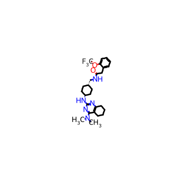 CN(C)c1nc(N[C@H]2CC[C@@H](CNC(=O)Cc3ccccc3OC(F)(F)F)CC2)nc2c1CCCC2